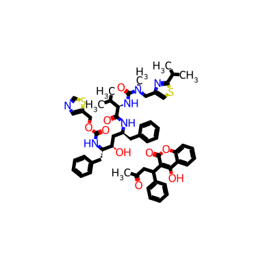 CC(=O)CC(c1ccccc1)c1c(O)c2ccccc2oc1=O.CC(C)c1nc(CN(C)C(=O)N[C@H](C(=O)N[C@@H](Cc2ccccc2)C[C@H](O)[C@H](Cc2ccccc2)NC(=O)OCc2cncs2)C(C)C)cs1